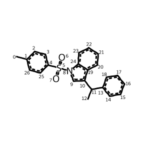 Cc1ccc(S(=O)(=O)n2cc(C(C)c3ccccc3)c3ccccc32)cc1